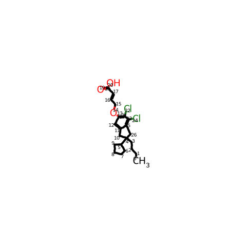 CCCCC1(C2CCCC2)Cc2cc(OC/C=C/C(=O)O)c(Cl)c(Cl)c2C1